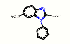 O=C([O-])c1[nH]c2ccc(S(=O)(=O)O)cc2[n+]1-c1ccccc1